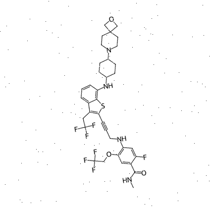 CNC(=O)c1cc(OCC(F)(F)F)c(NCC#Cc2sc3c(NC4CCC(N5CCC6(CC5)COC6)CC4)cccc3c2CC(F)(F)F)cc1F